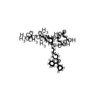 CC(C)(C)C(=O)OCOC(=O)C(C)(C)c1cn2nc(NCCCN3CCC(OC(c4ccccc4)c4ccccc4)CC3)ccc2n1.O=C(O)C=CC(=O)O.O=C(O)C=CC(=O)O